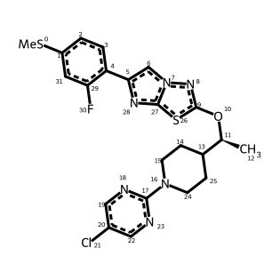 CSc1ccc(-c2cn3nc(O[C@@H](C)C4CCN(c5ncc(Cl)cn5)CC4)sc3n2)c(F)c1